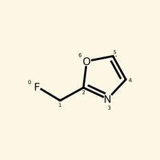 FCc1nc[c]o1